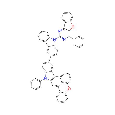 c1ccc(-c2nc(-n3c4ccccc4c4cc(-c5ccc6c(c5)c5c7cccc8c7c(cc5n6-c5ccccc5)-c5ccccc5O8)ccc43)nc3c2oc2ccccc23)cc1